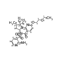 CCOCCOc1ccc(C(=O)NS(=O)(=O)c2cccnc2N)c(N2CCC(C)C2(C)C)n1